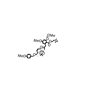 COCOc1cc(OC)cc(CCC[C@@H]2OC(C)(C)O[C@@H]2C(O)/C=C\C[C@H](C)OCc2ccc(OC)cc2)c1C(=O)OCC[Si](C)(C)C